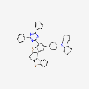 c1ccc(-c2nc(-c3ccccc3)nc(-c3cc(-c4ccc(-n5c6ccccc6c6ccccc65)cc4)cc4c3sc3ccc5sc6ccccc6c5c34)n2)cc1